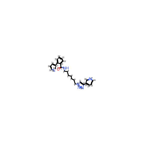 O=C(NCCCCCCCn1cc(-c2cccnc2)nn1)c1ccccc1-c1cccnc1